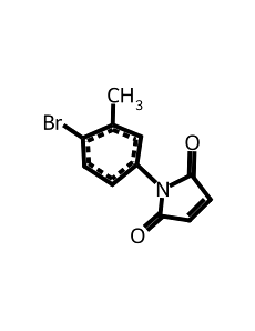 Cc1cc(N2C(=O)C=CC2=O)ccc1Br